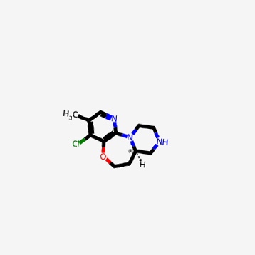 Cc1cnc2c(c1Cl)OCC[C@@H]1CNCCN21